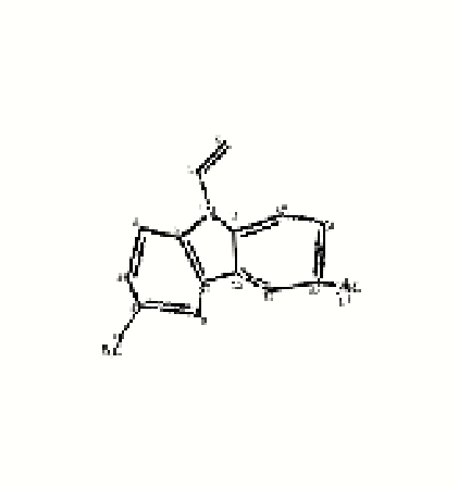 C=Cn1c2ccc(C(C)=O)cc2c2cc(C(C)=O)ccc21